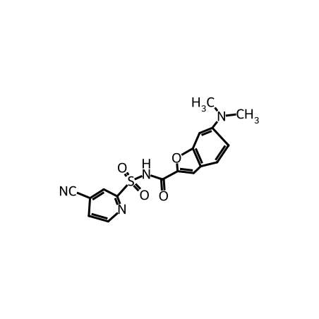 CN(C)c1ccc2cc(C(=O)NS(=O)(=O)c3cc(C#N)ccn3)oc2c1